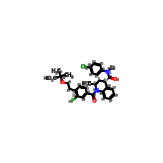 CCN(C(=O)[C@H]1C[C@H](C)N(C(=O)c2ccc(CCOC(C)(C)C(=O)O)c(F)c2)c2ccccc21)c1ccc(Cl)cc1